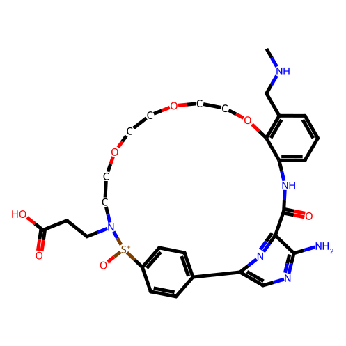 CNCc1cccc2c1OCCOCCOCCN(CCC(=O)O)[S+]([O-])c1ccc(cc1)-c1cnc(N)c(n1)C(=O)N2